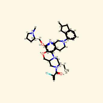 C=C(F)C(=O)N1CC2COc3c(OC[C@@H]4CCCN4C)nc4c(c3N2C[C@@H]1CC#N)CCN(c1cccc2c1CC(C)C2)C4